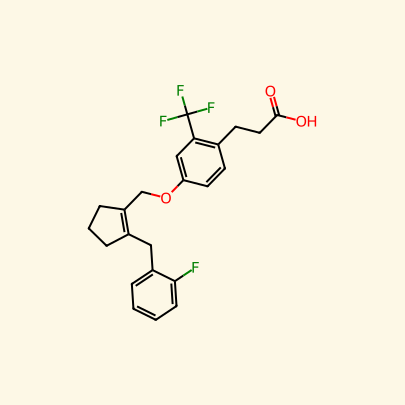 O=C(O)CCc1ccc(OCC2=C(Cc3ccccc3F)CCC2)cc1C(F)(F)F